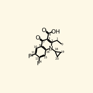 CCc1c(C(=O)O)c(=O)c2cc(F)c(F)cc2n1C1CC1